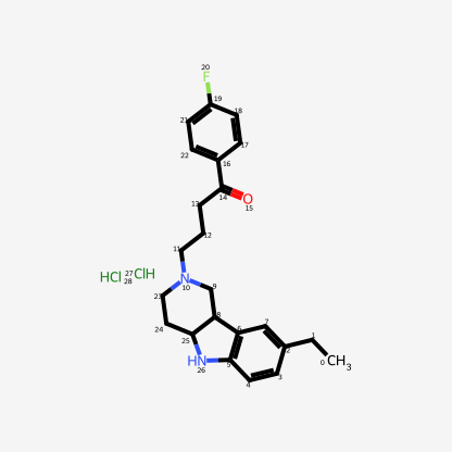 CCc1ccc2c(c1)C1CN(CCCC(=O)c3ccc(F)cc3)CCC1N2.Cl.Cl